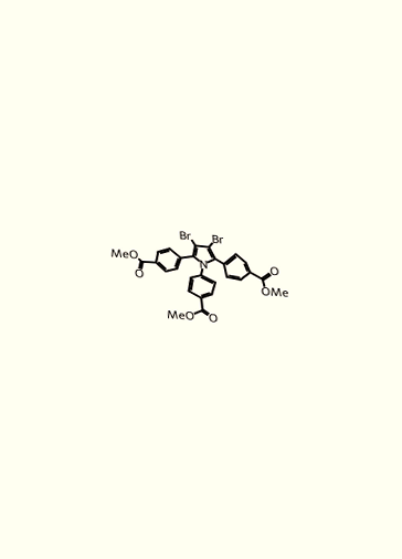 COC(=O)c1ccc(-c2c(Br)c(Br)c(-c3ccc(C(=O)OC)cc3)n2-c2ccc(C(=O)OC)cc2)cc1